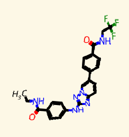 CCNC(=O)c1ccc(Nc2nc3ccc(-c4ccc(C(=O)NCC(F)(F)F)cc4)cn3n2)cc1